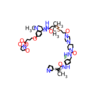 C[C@H]1[C@H](C(=O)Nc2ccc(CNC(=O)N3CCC(N4CCN(C(=O)CCSSC(C)(C)CC(=O)N/N=C5\CCN(C)c6cc(OCCCC(=O)ON7C(=O)CCC7=O)ccc65)CC4)CC3)c(F)c2)[C@H]1c1cccnc1